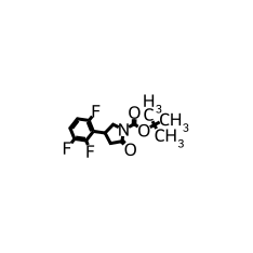 CC(C)(C)OC(=O)N1CC(c2c(F)ccc(F)c2F)CC1=O